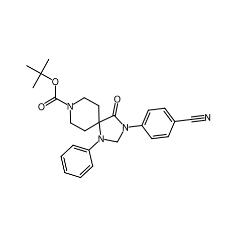 CC(C)(C)OC(=O)N1CCC2(CC1)C(=O)N(c1ccc(C#N)cc1)CN2c1ccccc1